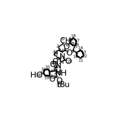 C=CCC1=C(C(=O)OC(c2ccccc2)c2ccccc2)N2C(=O)C(NC(=O)C(NC(=O)OC(C)(C)C)c3ccc(O)cc3)[C@@H]2SC1